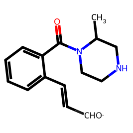 CC1CNCCN1C(=O)c1ccccc1/C=C/[C]=O